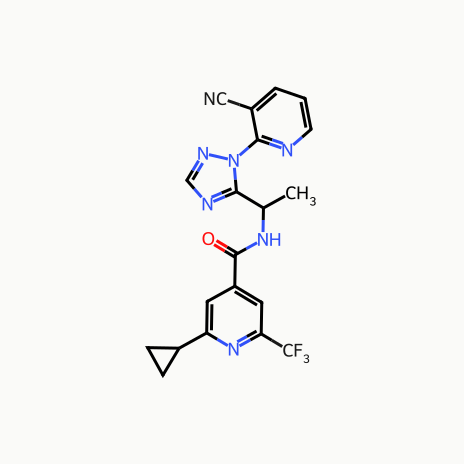 CC(NC(=O)c1cc(C2CC2)nc(C(F)(F)F)c1)c1ncnn1-c1ncccc1C#N